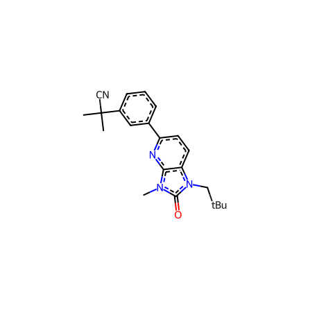 Cn1c(=O)n(CC(C)(C)C)c2ccc(-c3cccc(C(C)(C)C#N)c3)nc21